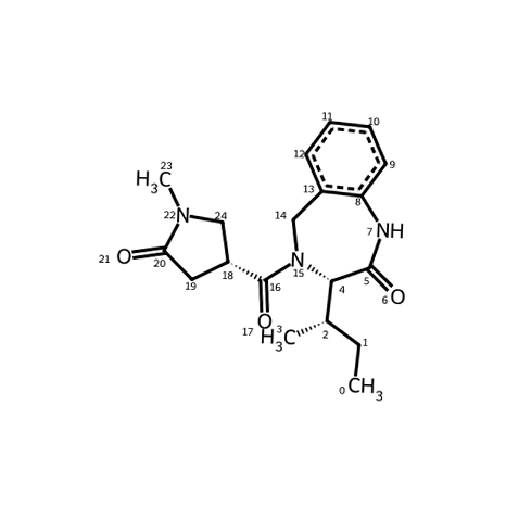 CC[C@H](C)[C@H]1C(=O)Nc2ccccc2CN1C(=O)[C@@H]1CC(=O)N(C)C1